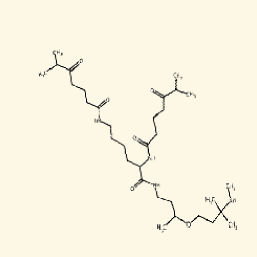 CNC(C)(C)CCOC(C)CCNC(=O)C(CCCCNC(=O)CCCC(=O)C(C)C)NC(=O)CCCC(=O)C(C)C